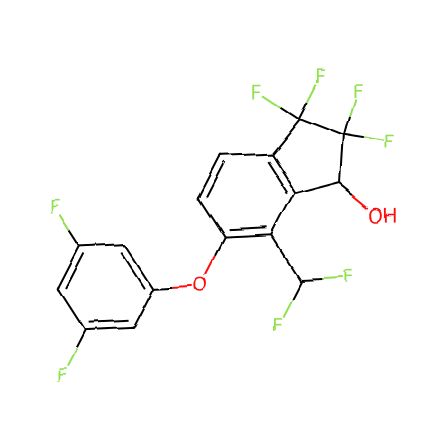 OC1c2c(ccc(Oc3cc(F)cc(F)c3)c2C(F)F)C(F)(F)C1(F)F